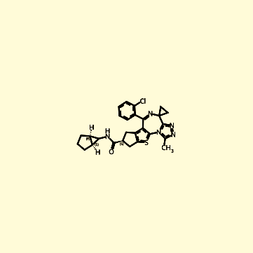 Cc1nnc2n1-c1sc3c(c1C(c1ccccc1Cl)=NC21CC1)C[C@H](C(=O)NC1[C@H]2CCC[C@@H]12)C3